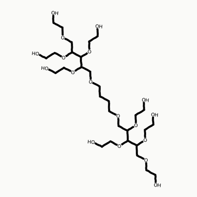 OCCOCC(OCCO)C(OCCO)C(COCCCCOCC(OCCO)C(OCCO)C(COCCO)OCCO)OCCO